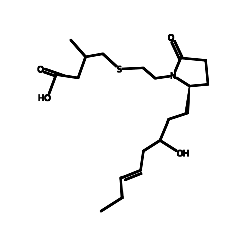 CC/C=C/CC(O)CC[C@@H]1CCC(=O)N1CCSCC(C)CC(=O)O